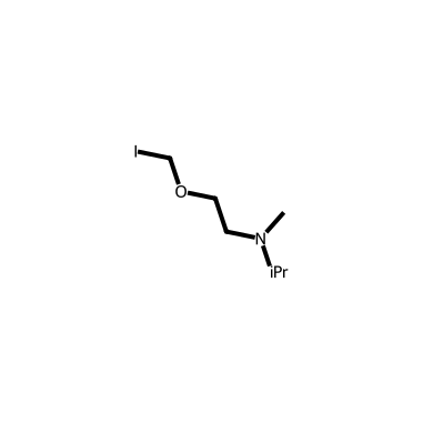 CC(C)N(C)CCOCI